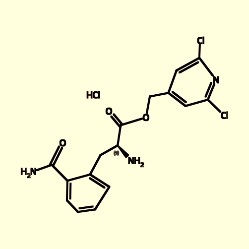 Cl.NC(=O)c1ccccc1C[C@H](N)C(=O)OCc1cc(Cl)nc(Cl)c1